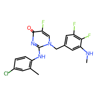 CNc1cc(Cn2cc(F)c(=O)nc2Nc2ccc(Cl)cc2C)cc(F)c1F